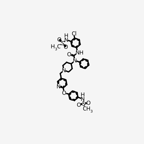 CS(=O)(=O)Nc1ccc(Oc2ccc(CN3CCC(N(C(=O)Nc4ccc(Cl)c(NS(C)(=O)=O)c4)c4ccccc4)CC3)cn2)cc1